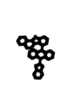 c1ccc2sc(-c3c4ccccc4c(-c4cccc5sc6c7ccccc7ccc6c45)c4ccccc34)cc2c1